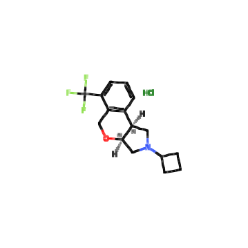 Cl.FC(F)(F)c1cccc2c1CO[C@@H]1CN(C3CCC3)C[C@H]21